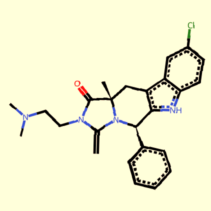 C=C1N(CCN(C)C)C(=O)[C@]2(C)Cc3c([nH]c4ccc(Cl)cc34)[C@@H](c3ccccc3)N12